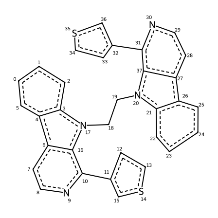 c1ccc2c(c1)c1ccnc(-c3ccsc3)c1n2CCn1c2ccccc2c2ccnc(-c3ccsc3)c21